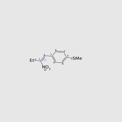 CC/C(=C/c1ccc(SC)cc1)[N+](=O)[O-]